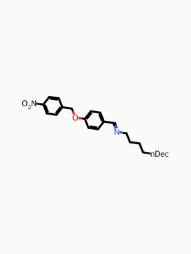 CCCCCCCCCCCCCCN=Cc1ccc(OCc2ccc([N+](=O)[O-])cc2)cc1